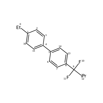 CCc1ccc(-c2ccc(C(F)(F)C(C)C)cc2)cc1